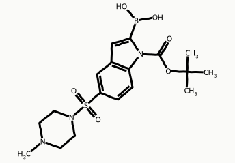 CN1CCN(S(=O)(=O)c2ccc3c(c2)cc(B(O)O)n3C(=O)OC(C)(C)C)CC1